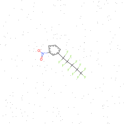 O=[N+]([O-])c1cccc(C(F)(F)C(F)(F)C(F)(F)C(F)(F)C(F)(F)F)c1